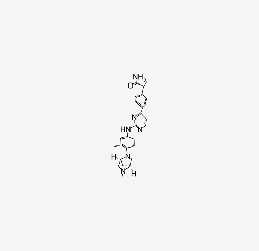 Cc1cc(Nc2nccc(-c3ccc(C(C)C(N)=O)cc3)n2)ccc1N1C[C@@H]2C[C@H]1CN2C